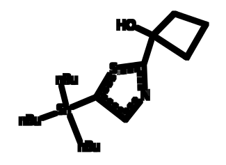 CCC[CH2][Sn]([CH2]CCC)([CH2]CCC)[c]1cnc(C2(O)CCC2)s1